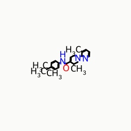 Cc1cccnc1N1CC=C(C(=O)Nc2ccc(C(C)(C)C)cc2)[C@H](C)C1